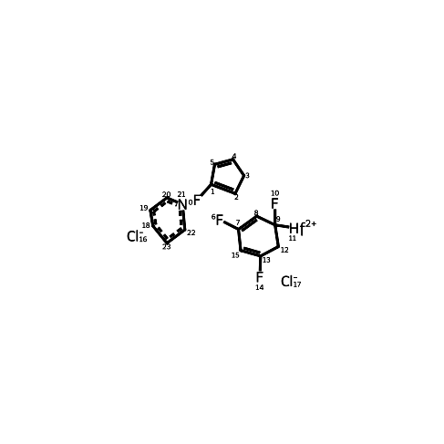 FC1=CCC=C1.FC1=C[C](F)([Hf+2])CC(F)=C1.[Cl-].[Cl-].c1ccncc1